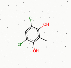 Cc1c(O)c(Cl)cc(Cl)c1O